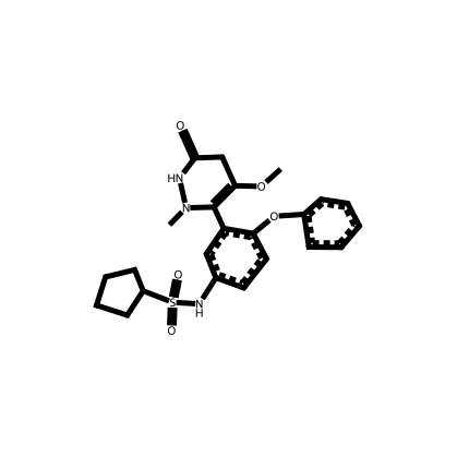 COC1=C(c2cc(NS(=O)(=O)C3CCCC3)ccc2Oc2ccccc2)N(C)NC(=O)C1